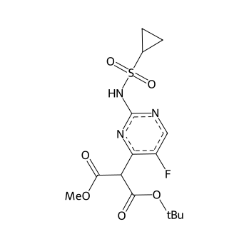 COC(=O)C(C(=O)OC(C)(C)C)c1nc(NS(=O)(=O)C2CC2)ncc1F